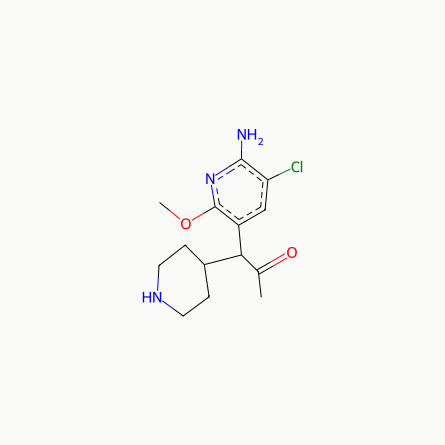 COc1nc(N)c(Cl)cc1C(C(C)=O)C1CCNCC1